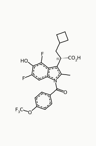 Cc1c([C@H](CC2CCC2)C(=O)O)c2c(F)c(O)c(F)cc2n1C(=O)c1ccc(OC(F)(F)F)cc1